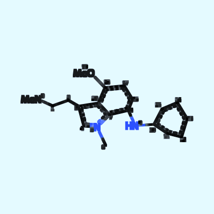 CNCCc1cn(C)c2c(Nc3ccccc3)ccc(OC)c12